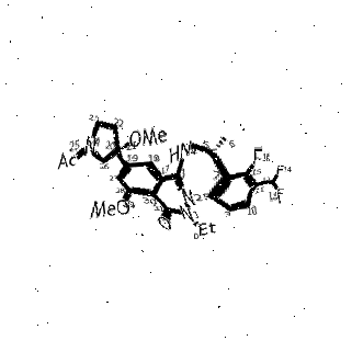 CCn1nc(N[C@H](C)c2cccc(C(F)F)c2F)c2cc([C@@]3(OC)CCN(C(C)=O)C3)cc(OC)c2c1=O